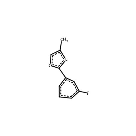 Cc1coc(-c2cccc(F)c2)n1